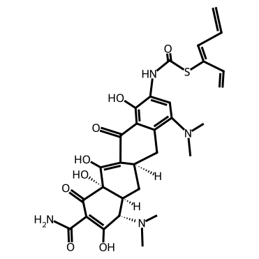 C=C/C=C(\C=C)SC(=O)Nc1cc(N(C)C)c2c(c1O)C(=O)C1=C(O)[C@]3(O)C(=O)C(C(N)=O)=C(O)[C@@H](N(C)C)[C@@H]3C[C@@H]1C2